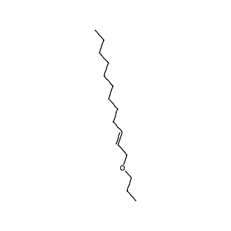 CCCCCCCCC/C=C/COCCC